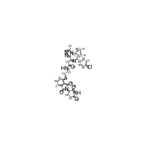 Cc1sc2c(c1C)C(c1ccc(Cl)cc1)=N[C@@H](CC(=O)NCCSc1cccc3c1C(=O)N(C1CCC(=O)NC1=O)C3=O)c1nnc(C)n1-2